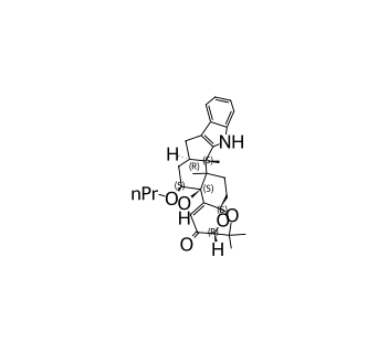 CCCO[C@H]1C[C@H]2Cc3c([nH]c4ccccc34)[C@]2(C)C2(C)CC[C@@]34O[C@@H](C(=O)C=C3[C@]12O)C(C)(C)O4